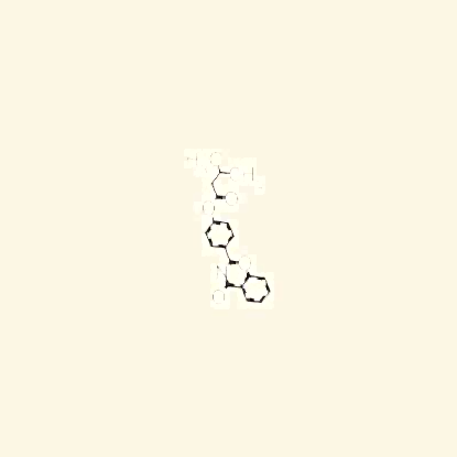 CC(C)CC(=O)Oc1ccc(-c2nc(=O)c3ccccc3o2)cc1